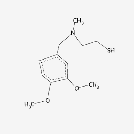 COc1ccc(CN(C)CCS)cc1OC